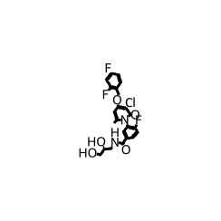 Cc1cc(OCc2ccc(F)cc2F)c(Cl)c(=O)n1-c1cc(C(=O)NC[C@H](O)CO)ccc1F